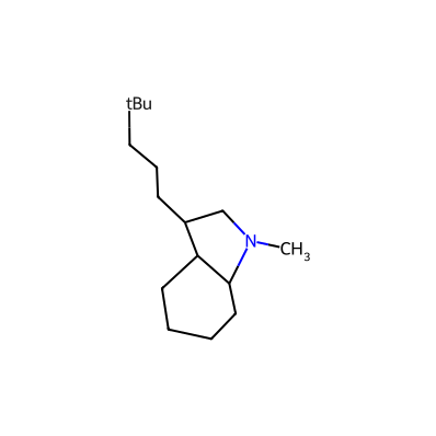 CN1CC(CCCC(C)(C)C)C2CCCCC21